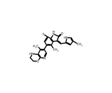 Cc1c[nH]c(C=C2C(=O)Nc3c(F)cc(-c4cnc5c(c4C)NCCO5)c(C)c32)c1